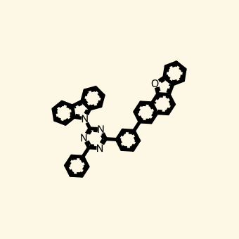 c1ccc(-c2nc(-c3cccc(-c4ccc5c(ccc6c7ccccc7oc56)c4)c3)nc(-n3c4ccccc4c4ccccc43)n2)cc1